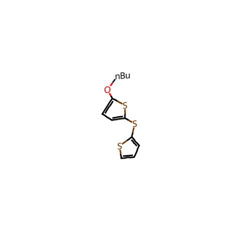 CCCCOc1ccc(Sc2cccs2)s1